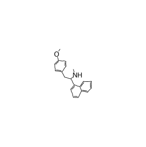 CNC(Cc1ccc(OC)cc1)c1cccc2ccccc12